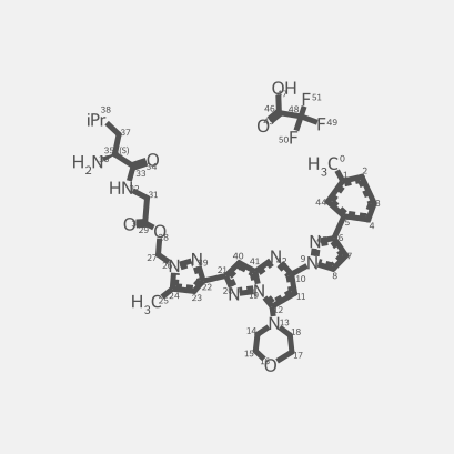 Cc1cccc(-c2ccn(-c3cc(N4CCOCC4)n4nc(-c5cc(C)n(COC(=O)CNC(=O)[C@@H](N)CC(C)C)n5)cc4n3)n2)c1.O=C(O)C(F)(F)F